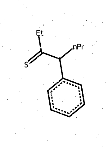 CCC[C](C(=S)CC)c1ccccc1